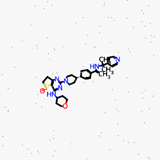 C=C(NC(C)(C)c1ccncc1)C1=CC[C@@H](C2CCN(c3nc4c(c(NC5CCOCC5)n3)[S+]([O-])CC4)CC2)C=C1